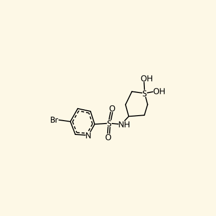 O=S(=O)(NC1CCS(O)(O)CC1)c1ccc(Br)cn1